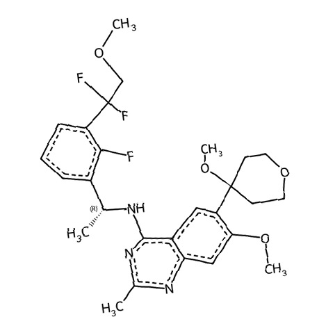 COCC(F)(F)c1cccc([C@@H](C)Nc2nc(C)nc3cc(OC)c(C4(OC)CCOCC4)cc23)c1F